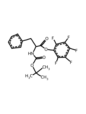 CC(C)(C)OC(=O)NC(Cc1ccccc1)C(=O)Oc1c(F)c(F)c(F)c(F)c1F